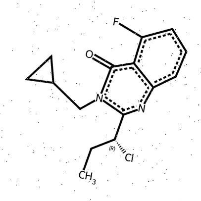 CC[C@@H](Cl)c1nc2cccc(F)c2c(=O)n1CC1CC1